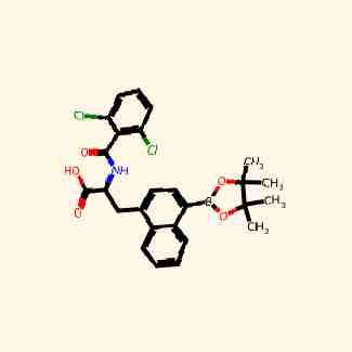 CC1(C)OB(c2ccc(CC(NC(=O)c3c(Cl)cccc3Cl)C(=O)O)c3ccccc23)OC1(C)C